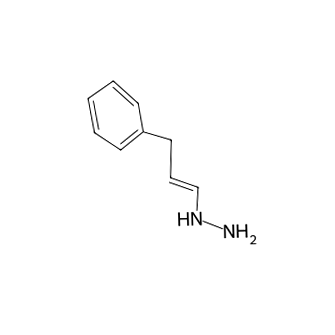 NNC=CCc1ccccc1